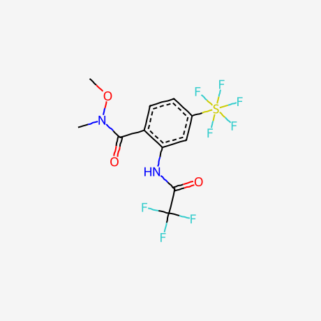 CON(C)C(=O)c1ccc(S(F)(F)(F)(F)F)cc1NC(=O)C(F)(F)F